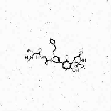 CC(C)[C@@H](N)C(=O)NCC(=O)N1CC(c2ccc(O)c(N3CC(=O)NS3(=O)=O)c2F)=C[C@H]1CCC1CCC1